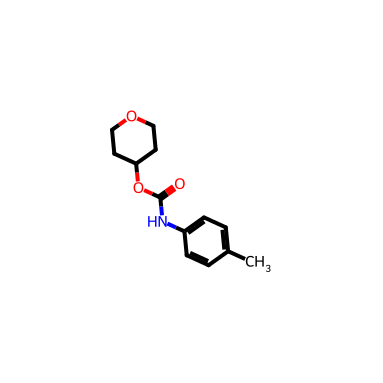 Cc1ccc(NC(=O)OC2CCOCC2)cc1